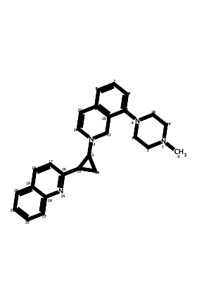 CN1CCN(c2cccc3c2CN(C2CC2c2ccc4ccccc4n2)C=C3)CC1